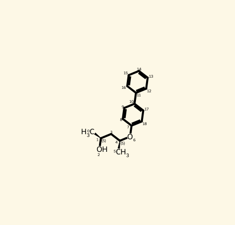 C[C@H](O)C[C@H](C)Oc1ccc(-c2ccccc2)cc1